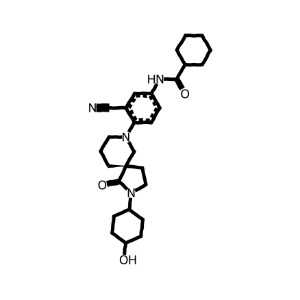 N#Cc1cc(NC(=O)C2CCCCC2)ccc1N1CCC[C@]2(CCN(C3CCC(O)CC3)C2=O)C1